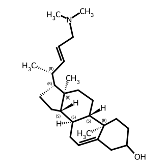 C[C@H](C=CCN(C)C)[C@H]1CC[C@H]2[C@@H]3CC=C4CC(O)CC[C@]4(C)[C@H]3CC[C@]12C